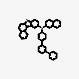 C1=CC(N(c2ccc3ccccc3c2)c2ccc3sc4ccc5ccccc5c4c3c2)CC=C1c1cccc(-c2ccccc2)c1